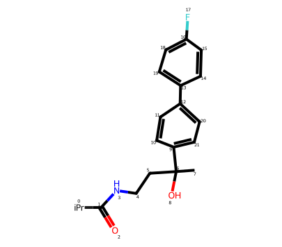 CC(C)C(=O)NCCC(C)(O)c1ccc(-c2ccc(F)cc2)cc1